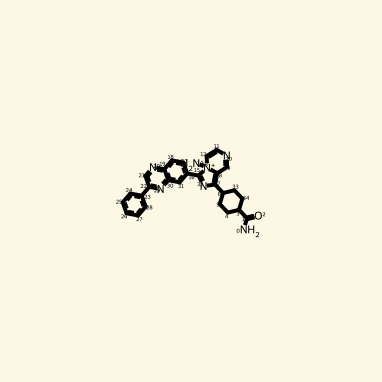 NC(=O)C1CCC(C2=C3C=NC=C[N+]3(N)C(c3ccc4ncc(-c5ccccc5)nc4c3)=N2)CC1